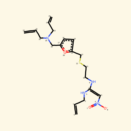 C=CCN/C(=C\[N+](=O)[O-])NCCSCc1ccc(CN(CC=C)CC=C)o1